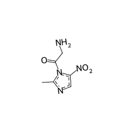 Cc1ncc([N+](=O)[O-])n1C(=O)CN